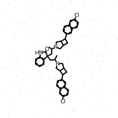 CC(CC1(CC(C)N2CC3CC(c4ccc5cc(Cl)ccc5c4)C3C2)C(=O)Nc2ccccc21)N1CC2CC(c3ccc4cc(Cl)ccc4c3)C2C1